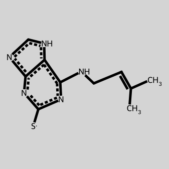 CC(C)=CCNc1nc([S])nc2nc[nH]c12